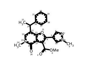 COC(=O)c1c(-c2cnn(C)c2)oc2c(C(C)c3ccccc3)cn(C)c(=O)c12